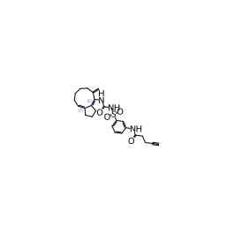 C#CCCC(=O)Nc1cccc(S(=O)(=O)NC(=O)N/C2=C3\CCC\C3=C\CCCCC2=C)c1